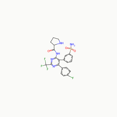 NS(=O)(=O)c1cccc(-c2c(NC(=O)C3CCCN3)nc(C(F)(F)F)nc2-c2ccc(F)cc2)c1